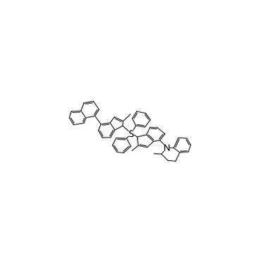 CC1=Cc2c(-c3cccc4ccccc34)cccc2C1S(c1ccccc1)(c1ccccc1)C1C(C)=Cc2c1cccc2N1c2ccccc2CCC1C